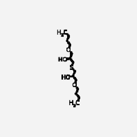 CCCCOCC(O)CSCC(O)COCCCC